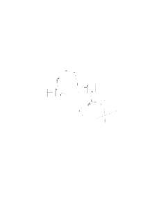 C[C@@H]1CC[C@@H](NC(=O)OC(C)(C)C)CN1